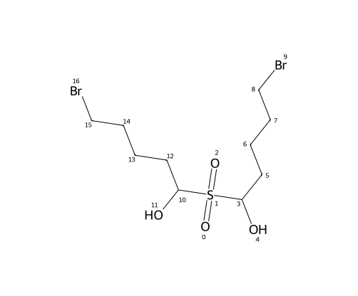 O=S(=O)(C(O)CCCCBr)C(O)CCCCBr